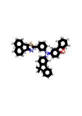 CC1(C)c2ccccc2-c2cc(N(c3cccc(-c4nc5c(s4)-c4cccc6cccc-5c46)c3)c3ccc4oc5ccccc5c4c3)ccc21